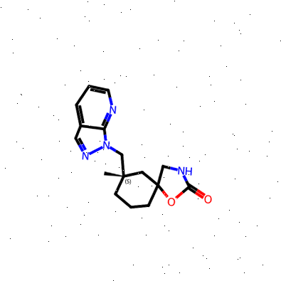 C[C@]1(Cn2ncc3cccnc32)CCCC2(CNC(=O)O2)C1